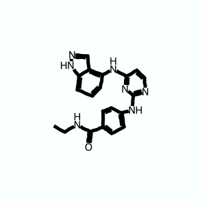 CCNC(=O)c1ccc(Nc2nccc(Nc3cccc4[nH]ncc34)n2)cc1